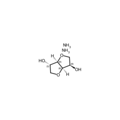 N.N.O[C@@H]1CO[C@H]2[C@@H]1OC[C@@H]2O